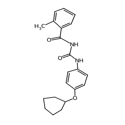 Cc1ccccc1C(=O)NC(=O)Nc1ccc(OC2CCCCC2)cc1